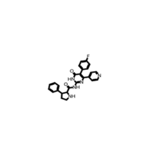 O=C(Nc1nc(-c2ccncc2)c(-c2ccc(F)cc2)c(=O)[nH]1)C1NCCC1c1ccccc1